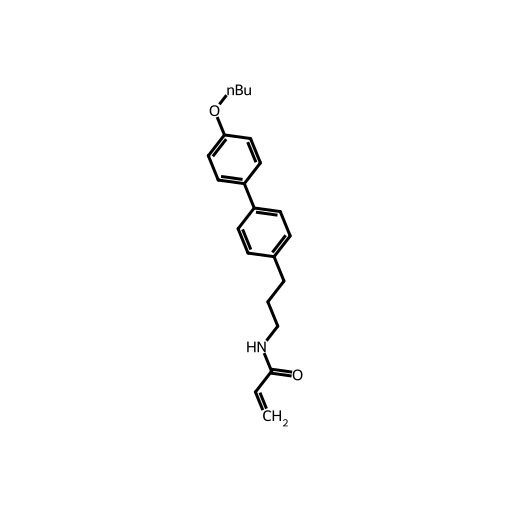 C=CC(=O)NCCCc1ccc(-c2ccc(OCCCC)cc2)cc1